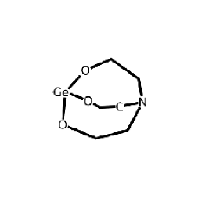 C1CN2CC[O][Ge]([O]1)[O]CC2